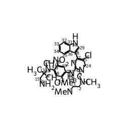 CNCCN(C)C.COc1cc(N(C)C(C)(C)CN)c([N+](=O)[O-])cc1Nc1ncc(Cl)c(-c2c[nH]c3ccccc23)n1